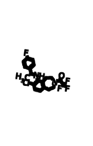 CC(Nc1c(Cl)ccc2c1CCN(C(=O)C(F)(F)F)CC2)c1ccc(F)cc1